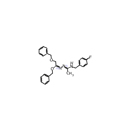 C/C(=N\N=C(/COCc1ccccc1)OCc1ccccc1)NCc1ccc(F)cc1